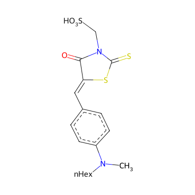 CCCCCCN(C)c1ccc(/C=C2\SC(=S)N(CS(=O)(=O)O)C2=O)cc1